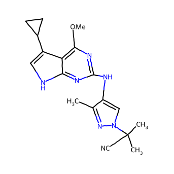 COc1nc(Nc2cn(C(C)(C)C#N)nc2C)nc2[nH]cc(C3CC3)c12